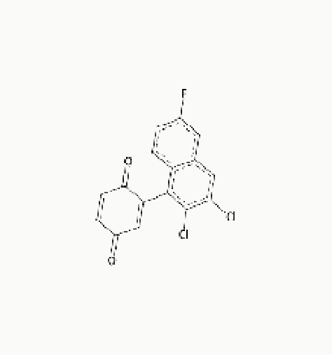 O=C1C=CC(=O)C(c2c(Cl)c(Cl)cc3cc(F)ccc23)=C1